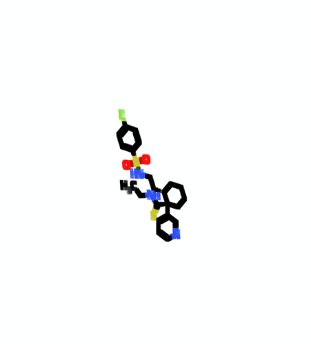 CCNC(=S)[C@]1(c2cccnc2)CCCC[C@H]1CCNS(=O)(=O)c1ccc(F)cc1